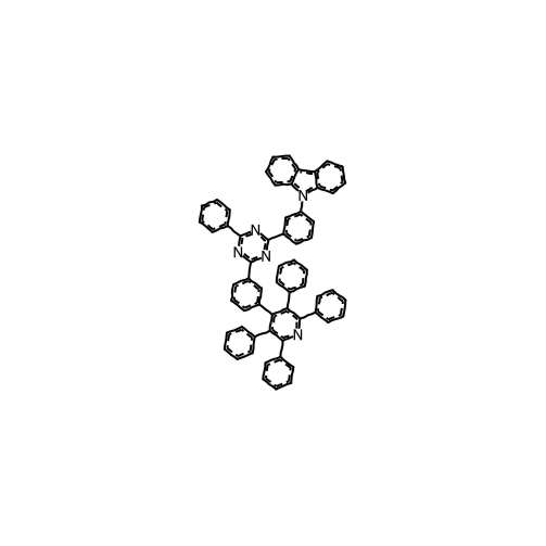 c1ccc(-c2nc(-c3cccc(-c4c(-c5ccccc5)c(-c5ccccc5)nc(-c5ccccc5)c4-c4ccccc4)c3)nc(-c3cccc(-n4c5ccccc5c5ccccc54)c3)n2)cc1